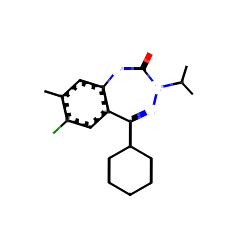 Cc1cc2c(cc1Br)C(C1CCCCC1)=NN(C(C)C)C(=O)N2